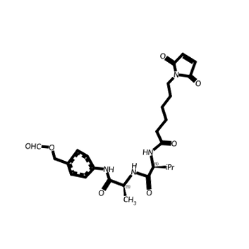 CC(C)[C@H](NC(=O)CCCCCN1C(=O)C=CC1=O)C(=O)N[C@@H](C)C(=O)Nc1ccc(COC=O)cc1